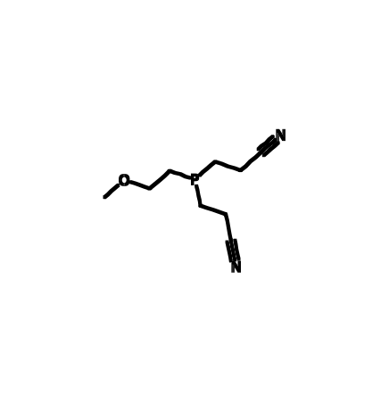 COCCP(CCC#N)CCC#N